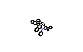 CC1(C)c2ccccc2-c2ccc(N(c3ccccc3)c3cc4c(c5ccccc35)-c3cc5ccccc5cc3C43c4ccccc4-c4ccccc43)cc21